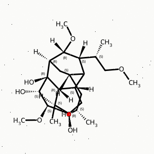 COC[C@@H](C)[C@@H]1C2[C@H](C[C@H](C)O)C[C@H]([C@@H]1OC)[C@]1(O)[C@@H]3[C@H]2C[C@@](O)([C@H]3C)[C@@H](OC)[C@@H]1O